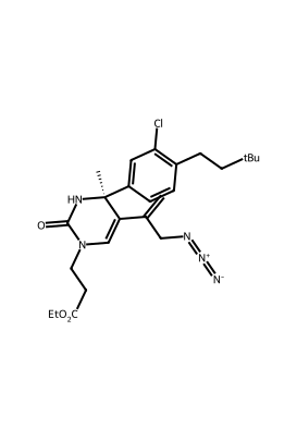 C=C(CN=[N+]=[N-])C1=CN(CCC(=O)OCC)C(=O)N[C@@]1(C)c1ccc(CCC(C)(C)C)c(Cl)c1